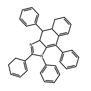 C1=CCCC(C2=NC3C(=C(c4ccccc4)C4=CC=CCC4C3c3ccccc3)N2c2ccccc2)=C1